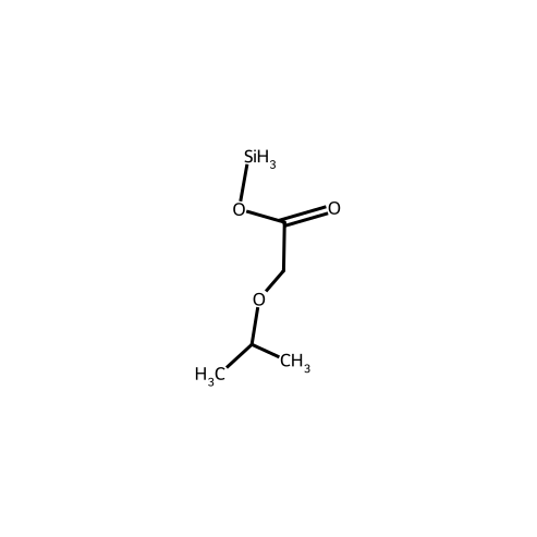 CC(C)OCC(=O)O[SiH3]